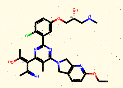 CCOc1ccc2c(n1)CN(c1nc(-c3cc(OC[C@H](O)CNC)ccc3Cl)nc(/C(C(C)=N)=C(\C)O)c1C)C2